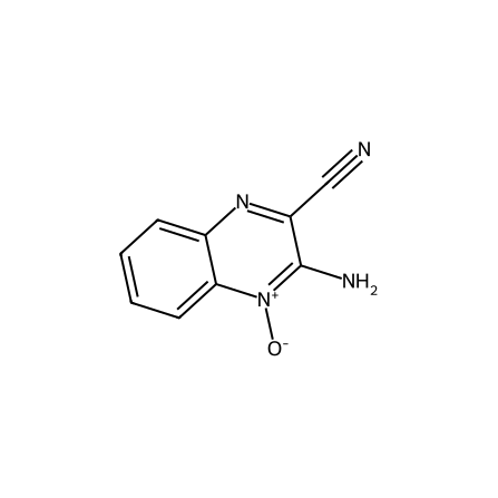 N#Cc1nc2ccccc2[n+]([O-])c1N